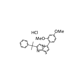 COc1ccc(-c2csc3nc(C(C)(C)c4ccccc4)cn23)c(OC)c1.Cl